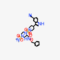 CN(C)S(=O)(=O)N1CCN(S(=O)(=O)N2CCC(c3c[nH]c4ccc(C#N)cc34)CC2)C(C(=O)NOCc2ccccc2)C1